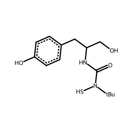 CC(C)(C)N(S)C(=O)NC(CO)Cc1ccc(O)cc1